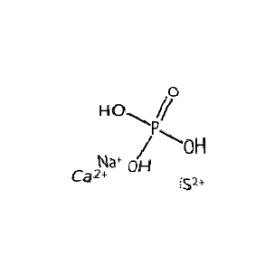 O=P(O)(O)O.[Ca+2].[Na+].[S+2]